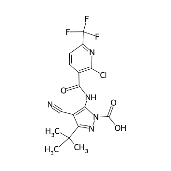 CC(C)(C)c1nn(C(=O)O)c(NC(=O)c2ccc(C(F)(F)F)nc2Cl)c1C#N